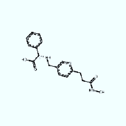 O=C(CCc1ccc(CN[C@H](C(=O)O)c2ccccc2)cn1)NO